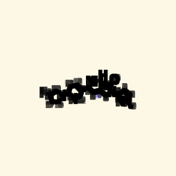 Cn1ccc(N2C/C(=C/C(=N)C3=CCC(N4CC[C@H](F)C4)N=C3)NC2=O)n1